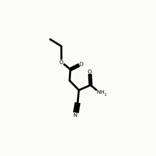 CCOC(=O)CC(C#N)C(N)=O